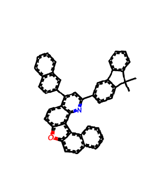 CC1(C)c2ccccc2-c2cc(-c3cc(-c4ccc5ccccc5c4)c4ccc5oc6ccc7ccccc7c6c5c4n3)ccc21